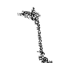 CC(C)c1c(C(=O)Nc2ccc(OCCOCCOCCOCCOCCOCCOCCNC(=O)COc3cccc4c3C(=O)N(C3CCC(=O)NC3=O)C4=O)cc2)c(-c2ccccc2)c(-c2ccc(F)cc2)n1CC[C@@H](O)C[C@@H](O)CC(=O)O